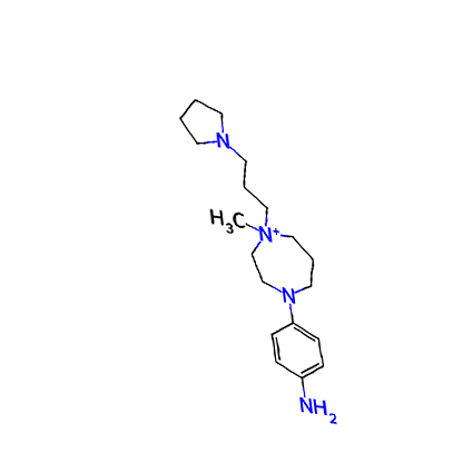 C[N+]1(CCCN2CCCC2)CCCN(c2ccc(N)cc2)CC1